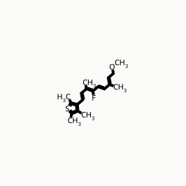 COCC=C(C)C=CC(F)=C(C)C=Cc1c(C)sc(C)c1C